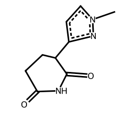 Cn1ccc(C2CCC(=O)NC2=O)n1